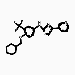 FC(F)(F)c1cc(Nc2nc(-c3cccnc3)cs2)ccc1OCC1CCCCC1